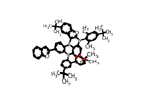 Cc1cc(C(C)(C)C)cc(C)c1N1c2cc(C(C)(C)C)cc3c2B(c2ccc(-c4cc5ccccc5o4)cc2N3c2ccc(C(C)(C)C)cc2-c2ccccc2)c2c1oc1ccc(C(C)(C)C)cc21